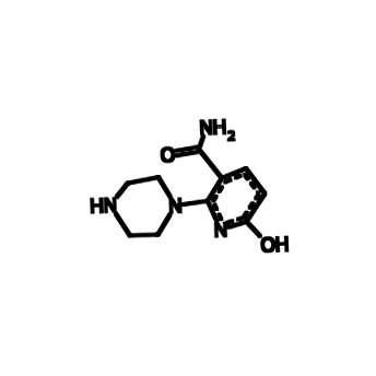 NC(=O)c1ccc(O)nc1N1CCNCC1